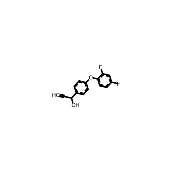 C#CC(O)c1ccc(Oc2ccc(F)cc2F)cc1